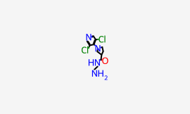 NCCNC(=O)C1CCN(c2c(Cl)cncc2Cl)C1